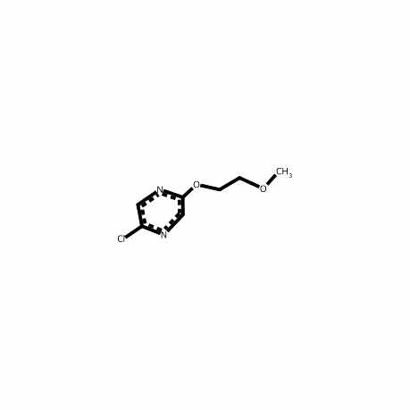 COCCOc1cnc(Cl)cn1